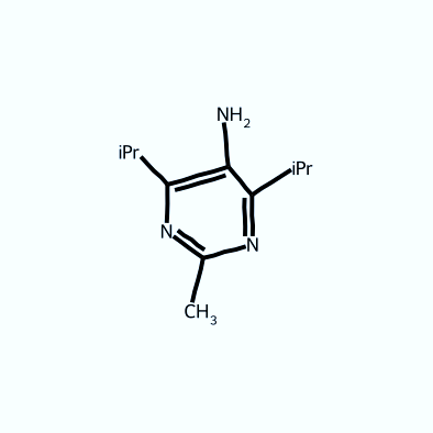 Cc1nc(C(C)C)c(N)c(C(C)C)n1